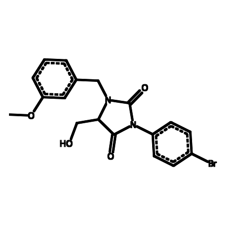 COc1cccc(CN2C(=O)N(c3ccc(Br)cc3)C(=O)C2CO)c1